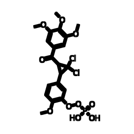 COc1ccc(C2C(C(=O)c3cc(OC)c(OC)c(OC)c3)C2(Cl)Cl)cc1OOP(=O)(O)O